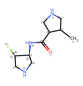 CC1CNCC1C(=O)N[C@H]1CNC[C@H]1F